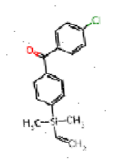 C=C[Si](C)(C)c1ccc(C(=O)c2ccc(Cl)cc2)cc1